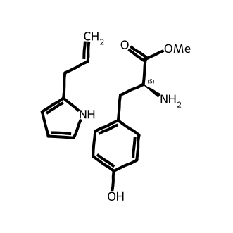 C=CCc1ccc[nH]1.COC(=O)[C@@H](N)Cc1ccc(O)cc1